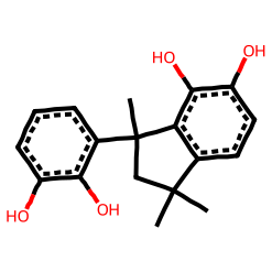 CC1(C)CC(C)(c2cccc(O)c2O)c2c1ccc(O)c2O